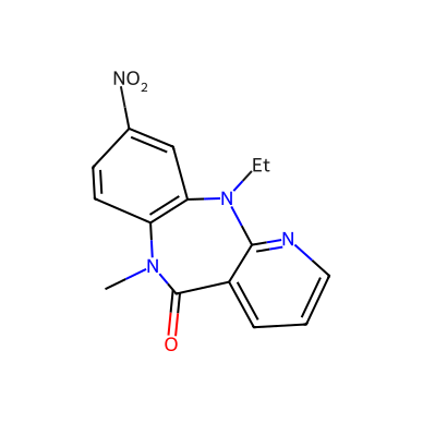 CCN1c2cc([N+](=O)[O-])ccc2N(C)C(=O)c2cccnc21